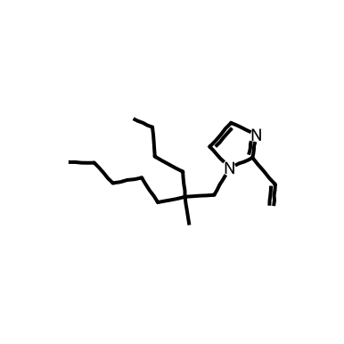 C=Cc1nccn1CC(C)(CCCC)CCCCC